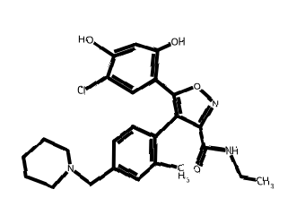 CCNC(=O)c1noc(-c2cc(Cl)c(O)cc2O)c1-c1ccc(CN2CCCCC2)cc1C